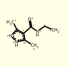 [CH2]CNC(=O)c1c(C)n[nH]c1C